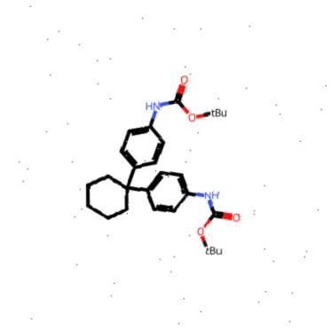 CC(C)(C)OC(=O)Nc1ccc(C2(c3ccc(NC(=O)OC(C)(C)C)cc3)CCCCC2)cc1